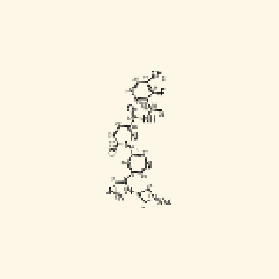 CC(=O)N1CC(n2nncc2-c2cncc(-n3nc(C(=O)N[C@H](C)c4cccc(C(F)(F)F)c4F)ccc3=O)c2)C1